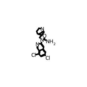 NC1OC2(CN3CCC2CC3)CN1c1cc2cc(Cl)cc(Cl)c2cn1